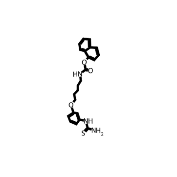 NC(=S)Nc1cccc(OCCCCCNC(=O)Oc2cccc3ccccc23)c1